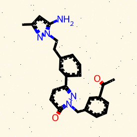 CC(=O)c1cccc(Cn2nc(-c3cccc(CCn4nc(C)cc4N)c3)ccc2=O)c1